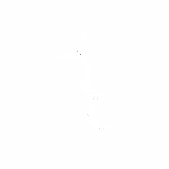 CN(C)CCOSS